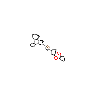 c1ccc2c(c1)Oc1ccc(-c3ccc(-c4ccc5c6ccccc6c6ccccc6c5c4)s3)cc1O2